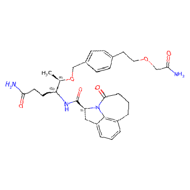 C[C@@H](OCc1ccc(CCOCC(N)=O)cc1)[C@H](CCC(N)=O)NC(=O)[C@@H]1Cc2cccc3c2N1C(=O)CCC3